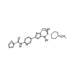 CC(C)N(c1cc(-c2ccc(NC(=O)c3ccco3)nc2)sc1C(=O)O)C(=O)[C@H]1CC[C@H](C)CC1